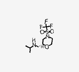 CC(C)NC[C@@H]1CN(S(=O)(=O)C(F)(F)F)CCO1